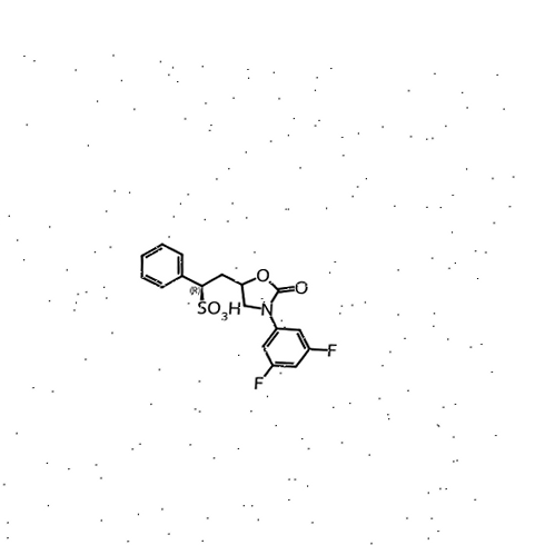 O=C1OC(C[C@H](c2ccccc2)S(=O)(=O)O)CN1c1cc(F)cc(F)c1